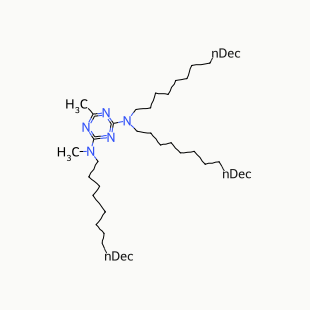 CCCCCCCCCCCCCCCCCCN(C)c1nc(C)nc(N(CCCCCCCCCCCCCCCCCC)CCCCCCCCCCCCCCCCCC)n1